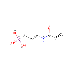 C=CC(=O)NC=CCP(=O)(O)O